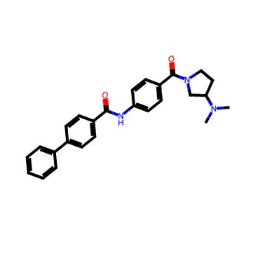 CN(C)C1CCN(C(=O)c2ccc(NC(=O)c3ccc(-c4ccccc4)cc3)cc2)C1